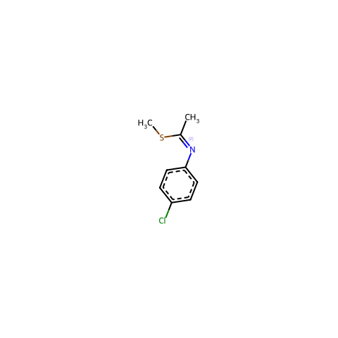 CS/C(C)=N\c1ccc(Cl)cc1